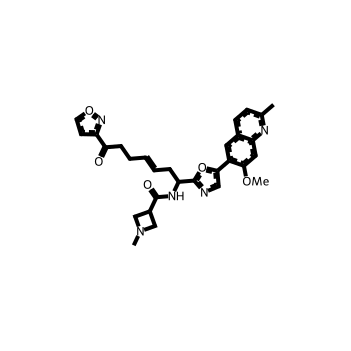 COc1cc2nc(C)ccc2cc1-c1cnc(C(C/C=C/CCC(=O)c2ccon2)NC(=O)C2CN(C)C2)o1